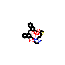 CN1CCCN=C1C=Cc1cccs1.O=C(O)c1cc2ccccc2c(Cc2c(O)c(C(=O)O)cc3ccccc23)c1O